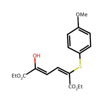 CCOC(=O)C(O)=CC=C(Sc1ccc(OC)cc1)C(=O)OCC